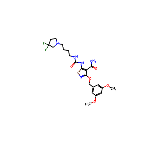 COc1cc(COc2nsc(NC(=O)NCCCCN3CCC(F)(F)C3)c2C(N)=O)cc(OC)c1